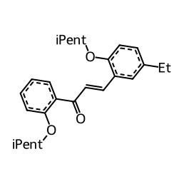 CCCC(C)Oc1ccc(CC)cc1/C=C/C(=O)c1ccccc1OC(C)CCC